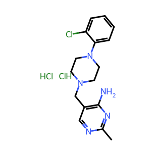 Cc1ncc(CN2CCN(c3ccccc3Cl)CC2)c(N)n1.Cl.Cl